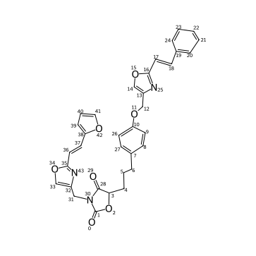 O=C1OC(CCCc2ccc(OCc3coc(C=Cc4ccccc4)n3)cc2)C(=O)N1Cc1coc(C=Cc2ccco2)n1